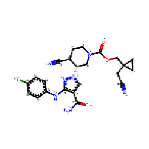 N#CCC1(COC(=O)N2CC[C@H](C#N)[C@@H](n3cc(C(N)=O)c(Nc4ccc(F)cc4)n3)C2)CC1